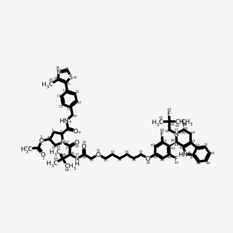 CC(=O)OC1CC(C(=O)NCc2ccc(-c3scnc3C)cc2)N(C(=O)C(NC(=O)COCCCCCCOc2cc(F)c([C@@H]3c4[nH]c5ccccc5c4C[C@@H](C)N3CC(C)(C)F)c(F)c2)C(C)(C)C)C1